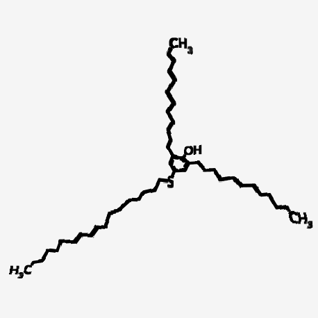 CCCCCCCCCCCCCCCCCCSc1cc(CCCCCCCCCCCC)c(O)c(CCCCCCCCCCCC)c1